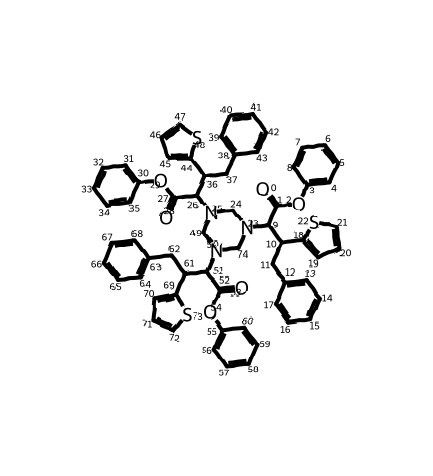 O=C(Oc1ccccc1)C(C(Cc1ccccc1)c1cccs1)N1CN(C(C(=O)Oc2ccccc2)C(Cc2ccccc2)c2cccs2)CN(C(C(=O)Oc2ccccc2)C(Cc2ccccc2)c2cccs2)C1